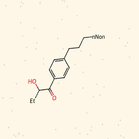 CCCCCCCCCCCCc1ccc(C(=O)C(O)CC)cc1